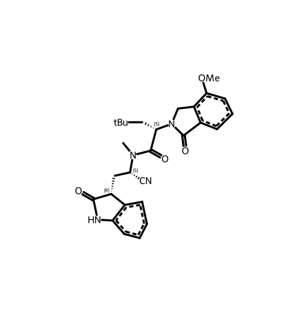 COc1cccc2c1CN([C@@H](CC(C)(C)C)C(=O)N(C)[C@H](C#N)C[C@H]1C(=O)Nc3ccccc31)C2=O